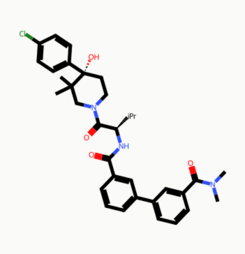 CC(C)[C@@H](NC(=O)c1cccc(-c2cccc(C(=O)N(C)C)c2)c1)C(=O)N1CC[C@](O)(c2ccc(Cl)cc2)C(C)(C)C1